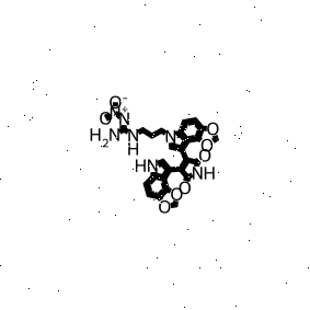 NC(=N[N+](=O)[O-])NCCCn1cc(C2=C(c3c[nH]c4ccc5c(c34)OCO5)C(=O)NC2=O)c2c3c(ccc21)OCO3